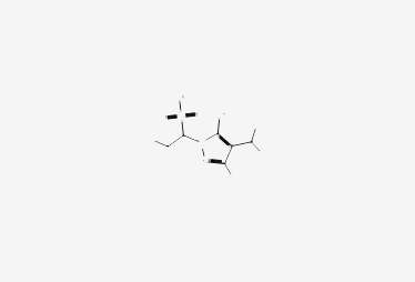 CCC(n1nc(C)c(C(C)C)c1O)S(=O)(=O)O